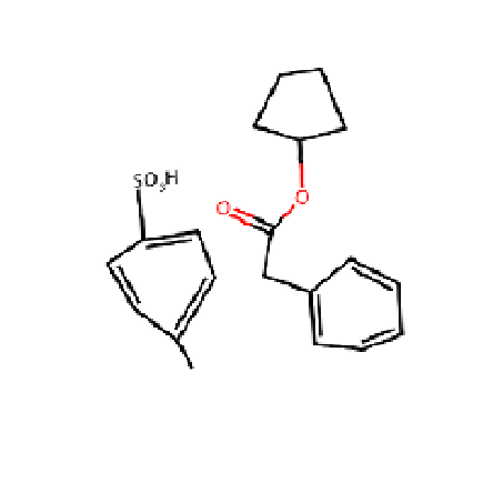 Cc1ccc(S(=O)(=O)O)cc1.O=C(Cc1ccccc1)OC1CCCC1